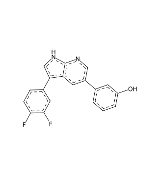 Oc1cccc(-c2cnc3[nH]cc(-c4ccc(F)c(F)c4)c3c2)c1